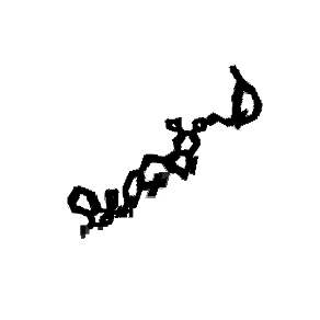 COc1cc2c(Cc3ccc(NS(=O)(=O)c4ccccc4C(F)F)cc3F)ccnc2cc1OCCCN1CCCC(C)C1